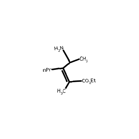 CCCC(=C(C)C(=O)OCC)C(C)N